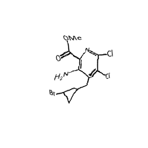 COC(=O)c1nc(Cl)c(Cl)c(CC2CC2Br)c1N